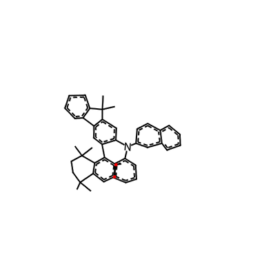 Cc1ccc2c(c1-c1cc3c(cc1N(c1ccccc1)c1ccc4ccccc4c1)C(C)(C)c1ccccc1-3)C(C)(C)CCC2(C)C